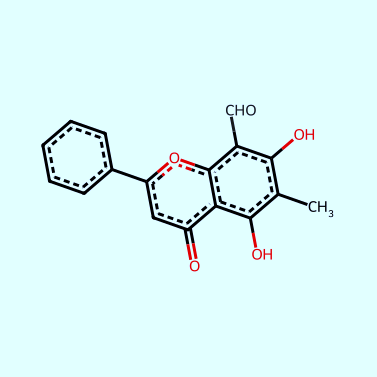 Cc1c(O)c(C=O)c2oc(-c3ccccc3)cc(=O)c2c1O